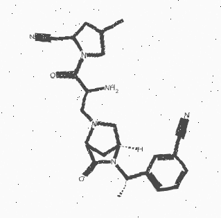 CC1CC(C#N)N(C(=O)C(N)CN2C[C@@H]3CC2C(=O)N3[C@@H](C)c2cccc(C#N)c2)C1